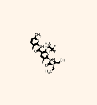 CCn1c(CO)nn(-c2nc(O[C@@H](C)C(F)(F)F)c(C(=O)Nc3nc(C)ccc3F)cc2F)c1=O